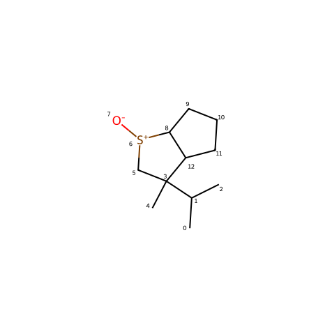 CC(C)C1(C)C[S+]([O-])C2CCCC21